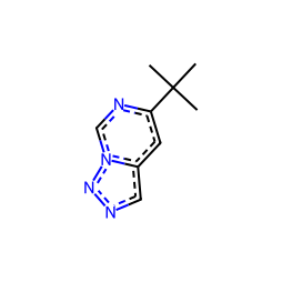 CC(C)(C)c1cc2cnnn2cn1